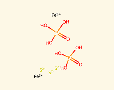 O=P(O)(O)O.O=P(O)(O)O.[Fe+3].[Fe+3].[S-2].[S-2].[S-2]